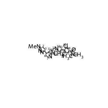 CNc1ccc(-c2ccnc3c2cc(CN2CC=C(c4c(F)cc(C(=O)N(C)C)cc4Cl)CC2)n3C)nn1